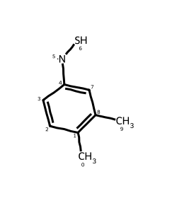 Cc1ccc([N]S)cc1C